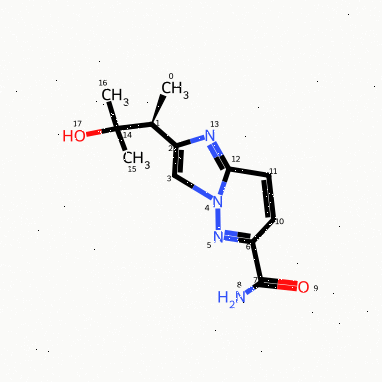 C[C@@H](c1cn2nc(C(N)=O)ccc2n1)C(C)(C)O